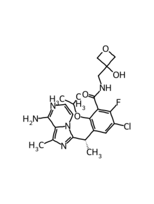 Cc1nc([C@@H](C)c2cc(Cl)c(F)c(C(=O)NCC3(O)COC3)c2OC(C)C)n2ccnc(N)c12